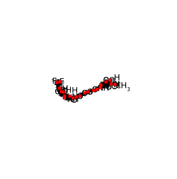 CNC(=O)CCC(C=O)N1C(=O)c2ccc(NCCOCCOCCOCCOCCNC(=O)c3cc4cc(N5CCC(O)(C(=O)NCc6cc(F)cc(F)c6)C5=O)ccc4[nH]3)cc2C1=O